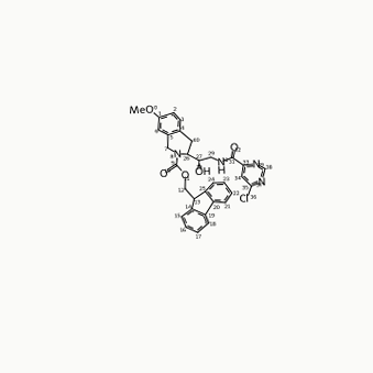 COc1ccc2c(c1)CN(C(=O)OCC1c3ccccc3-c3ccccc31)C([C@H](O)CNC(=O)c1cc(Cl)ncn1)C2